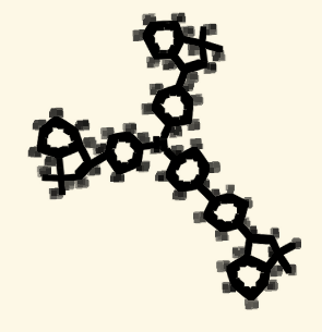 CC1(C)C=C(c2ccc(-c3ccc(N(c4ccc(C5=CC(C)(C)c6ccccc65)cc4)c4ccc(C5=CC(C)(C)c6ccccc65)cc4)cc3)cc2)c2ccccc21